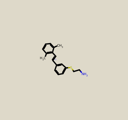 Cc1cccc(C)c1/C=C/c1cccc(SCCN)c1